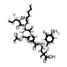 CCCCCCN(C(=O)[C@@H](N)[C@@H](C)CC)[C@H](C[C@@H](OC(C)=O)c1nc(C(=O)N[C@H](Cc2ccc(N)c(F)c2)CC(C)(C)C(=O)O)cs1)C(C)C